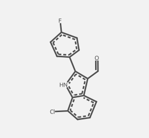 O=Cc1c(-c2ccc(F)cc2)[nH]c2c(Cl)cccc12